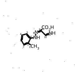 Cc1ccccc1N/N=C(\C=N)C(=O)O